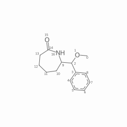 COC(c1ccccc1)C1CCCCC(=O)N1